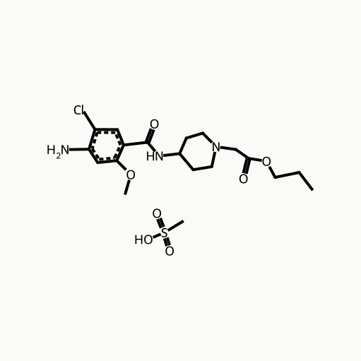 CCCOC(=O)CN1CCC(NC(=O)c2cc(Cl)c(N)cc2OC)CC1.CS(=O)(=O)O